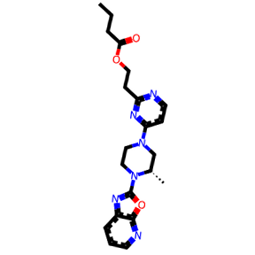 CCCC(=O)OCCc1nccc(N2CCN(c3nc4cccnc4o3)[C@@H](C)C2)n1